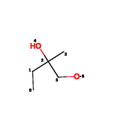 CCC(C)(O)C[O]